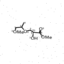 COCC(C)OC[C@H](O)C(=O)OC